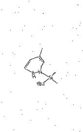 CC1=CN([Si](C)(C)C(C)(C)C)BC=C1